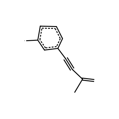 [CH2]c1cccc(C#CC(=C)C)c1